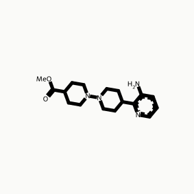 COC(=O)C1CCN(N2CCC(c3ncccc3N)CC2)CC1